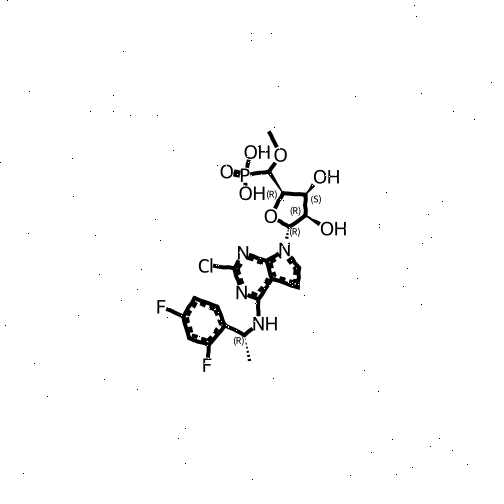 COC([C@@H]1O[C@@H](n2ccc3c(N[C@H](C)c4ccc(F)cc4F)nc(Cl)nc32)[C@H](O)[C@@H]1O)P(=O)(O)O